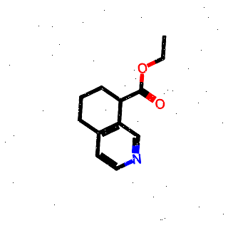 CCOC(=O)C1CCCc2ccncc21